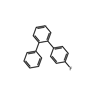 Fc1ccc(-c2c[c]ccc2-c2ccccc2)cc1